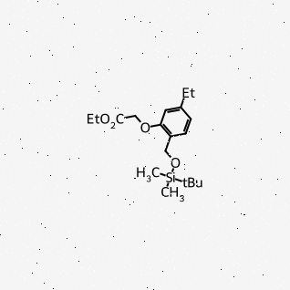 CCOC(=O)COc1cc(CC)ccc1CO[Si](C)(C)C(C)(C)C